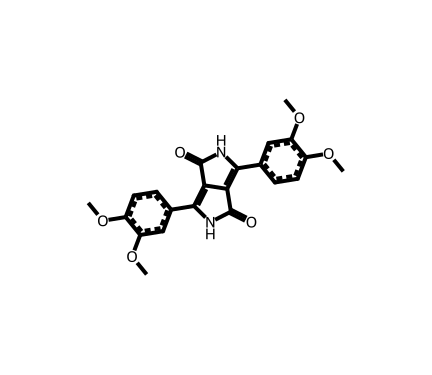 COc1ccc(C2=C3C(=O)NC(c4ccc(OC)c(OC)c4)=C3C(=O)N2)cc1OC